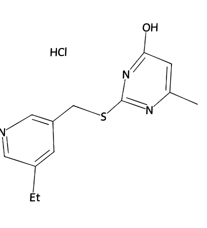 CCc1cncc(CSc2nc(C)cc(O)n2)c1.Cl